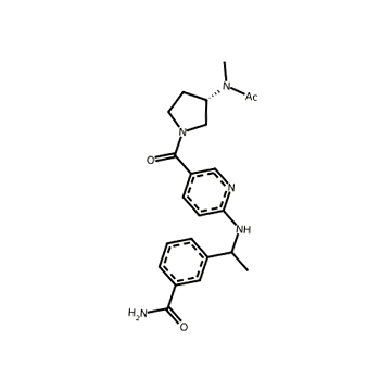 CC(=O)N(C)[C@H]1CCN(C(=O)c2ccc(NC(C)c3cccc(C(N)=O)c3)nc2)C1